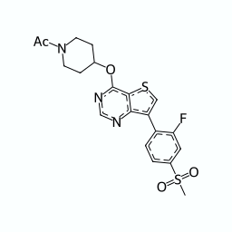 CC(=O)N1CCC(Oc2ncnc3c(-c4ccc(S(C)(=O)=O)cc4F)csc23)CC1